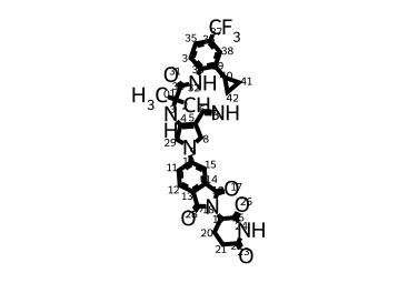 CC(C)(NC1=C(C=N)CN(c2ccc3c(c2)C(=O)N(C2CCC(=O)NC2=O)C3=O)C1)C(=O)Nc1ccc(C(F)(F)F)cc1C1CC1